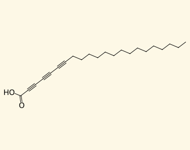 CCCCCCCCCCCCCCCC#CC#CC#CC(=O)O